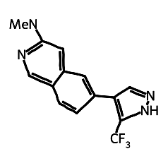 CNc1cc2cc(-c3cn[nH]c3C(F)(F)F)ccc2cn1